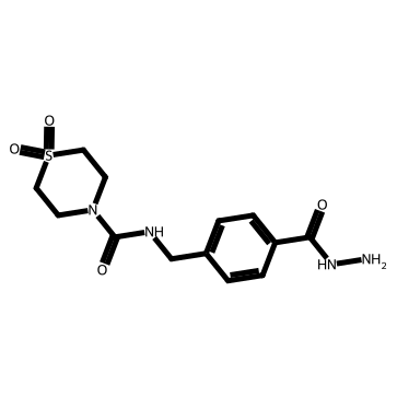 NNC(=O)c1ccc(CNC(=O)N2CCS(=O)(=O)CC2)cc1